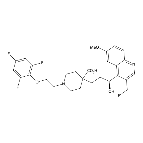 COc1ccc2ncc(CF)c([C@@H](O)CCC3(C(=O)O)CCN(CCOc4c(F)cc(F)cc4F)CC3)c2c1